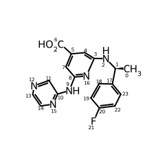 C[C@H](Nc1cc(C(=O)O)cc(Nc2cnccn2)n1)c1ccc(F)cc1